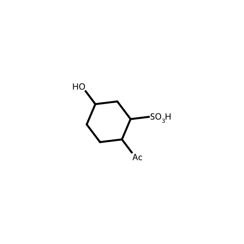 CC(=O)C1CCC(O)CC1S(=O)(=O)O